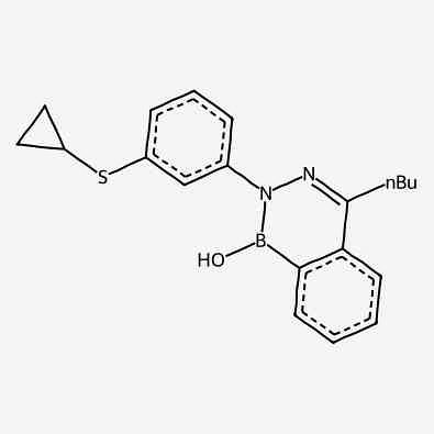 CCCCC1=NN(c2cccc(SC3CC3)c2)B(O)c2ccccc21